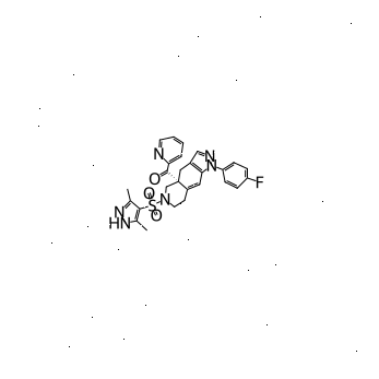 Cc1n[nH]c(C)c1S(=O)(=O)N1CCC2=Cc3c(cnn3-c3ccc(F)cc3)C[C@]2(C(=O)c2ccccn2)C1